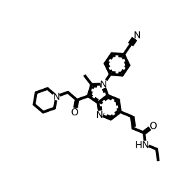 CCNC(=O)C=Cc1cnc2c(C(=O)CN3CCCCC3)c(C)n(-c3ccc(C#N)cc3)c2c1